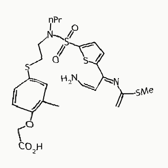 C=C(/N=C(\C=C/N)c1ccc(S(=O)(=O)N(CCC)CCSc2ccc(OCC(=O)O)c(C)c2)s1)SC